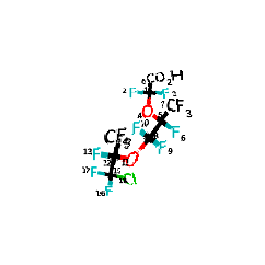 O=C(O)C(F)(F)OC(F)(C(F)(F)F)C(F)(F)OC(F)(C(F)(F)F)C(F)(F)Cl